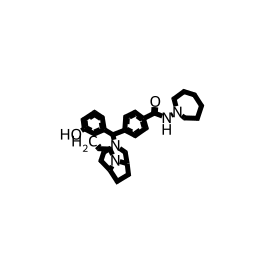 C=CCN1C2CCC1CN(C(c1ccc(C(=O)NN3CCCCCC3)cc1)c1cccc(O)c1)CC2